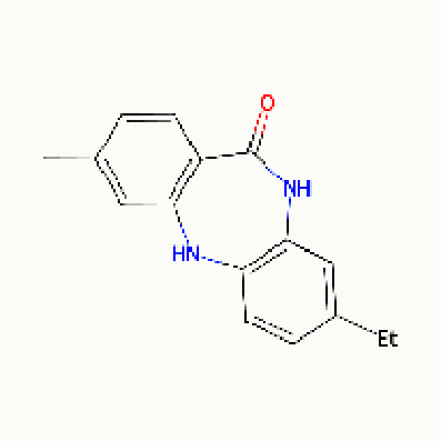 CCc1ccc2c(c1)NC(=O)c1ccc(C)cc1N2